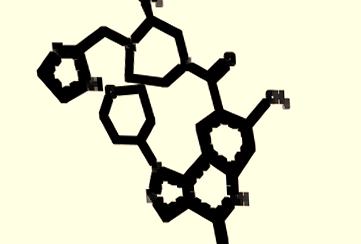 Cc1cc2[nH]c(=O)c3cnn(C4CCOCC4)c3c2cc1C(=O)N1CCN(Cc2ncc[nH]2)[C@@H](C)C1